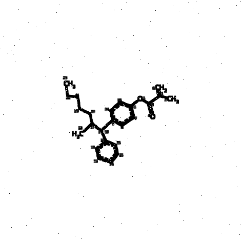 C=C(C)C(=O)Oc1ccc(N(c2ccccc2)C(C)CCCCC)cc1